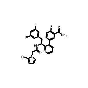 CC(C)c1nccn1CC(=O)NC(Cc1cc(F)cc(F)c1)c1ncccc1-c1ccc(F)c(C(N)=O)c1